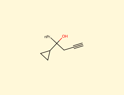 C#CCC(O)(CCC)C1CC1